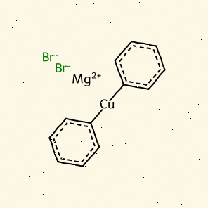 [Br-].[Br-].[Mg+2].c1cc[c]([Cu][c]2ccccc2)cc1